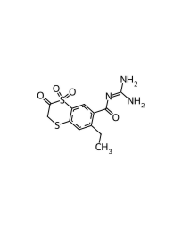 CCc1cc2c(cc1C(=O)N=C(N)N)S(=O)(=O)C(=O)CS2